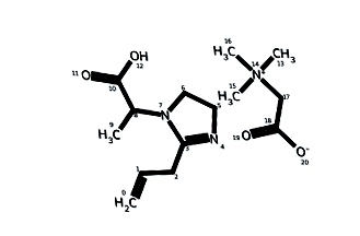 C=CCC1=NCCN1C(C)C(=O)O.C[N+](C)(C)CC(=O)[O-]